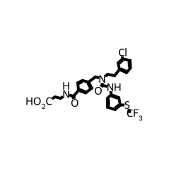 O=C(O)CCNC(=O)c1ccc(CN(CCc2cccc(Cl)c2)C(=O)Nc2cccc(SC(F)(F)F)c2)cc1